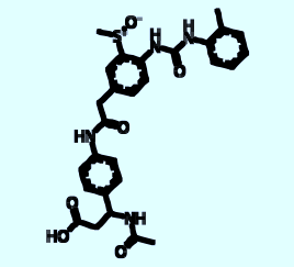 CC(=O)NC(CC(=O)O)c1ccc(NC(=O)Cc2ccc(NC(=O)Nc3ccccc3C)c([S+](C)[O-])c2)cc1